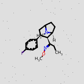 CCC(=NOC)[C@H]1[C@@H](c2ccc(I)cc2)CC2CC[C@@H]1N2C